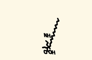 CC=C(C(=O)O)C(C)(CCC)CCCCCCCCCCCCCCCC.N